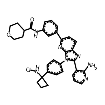 Nc1ncccc1-c1nc2ccc(-c3cccc(NC(=O)C4CCOCC4)c3)nc2n1-c1ccc(C2(NCl)CCC2)cc1